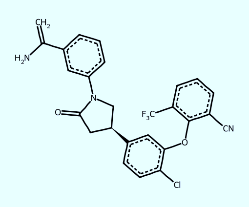 C=C(N)c1cccc(N2C[C@@H](c3ccc(Cl)c(Oc4c(C#N)cccc4C(F)(F)F)c3)CC2=O)c1